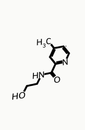 Cc1[c]cnc(C(=O)NCCO)c1